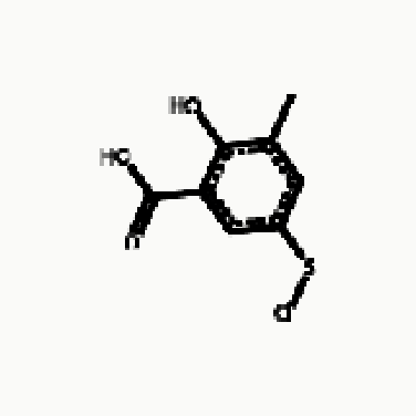 Cc1cc(SCl)cc(C(=O)O)c1O